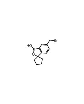 OB1OC2(CCCC2)c2ccc(CBr)cc21